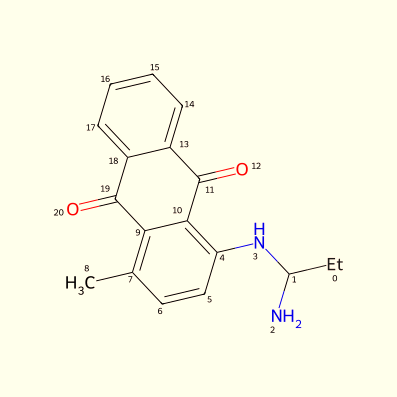 CCC(N)Nc1ccc(C)c2c1C(=O)c1ccccc1C2=O